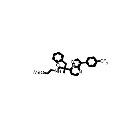 COCCNC(=O)C(C)(Cc1ccccc1)c1ccnc2c(-c3ccc(C(F)(F)F)cc3)cnn12